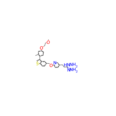 COCCOc1ccc(-c2csc3ccc(COc4ccc(CC/C(=N/N)NN)cn4)cc23)c(C)c1